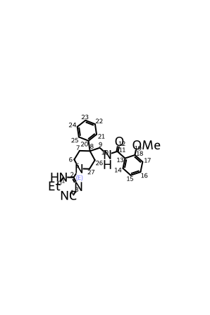 CCN/C(=N\C#N)N1CCC(CNC(=O)c2ccccc2OC)(c2ccccc2)CC1